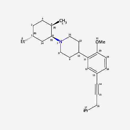 CC[C@@H]1CC[C@@H](C)[C@@H](N2CCC(c3cc(C#CCC(C)C)ccc3OC)CC2)C1